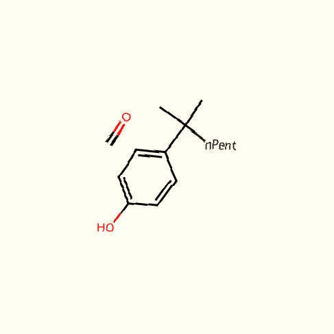 C=O.CCCCCC(C)(C)c1ccc(O)cc1